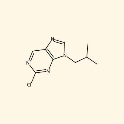 CC(C)Cn1cnc2cnc(Cl)nc21